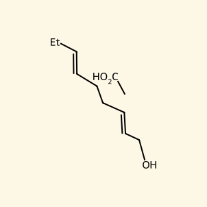 CC(=O)O.CCC=CCCC=CCO